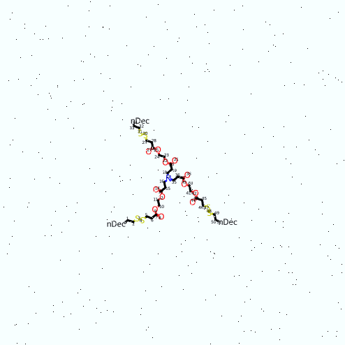 CCCCCCCCCCCCSSCCC(=O)OCCOC(=O)CCN(CCC(=O)OCCOC(=O)CCSSCCCCCCCCCCCC)CCC(=O)OCCOC(=O)CCSSCCCCCCCCCCCC